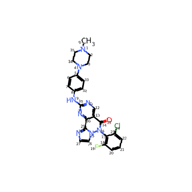 CN1CCN(c2ccc(Nc3ncc4c(=O)n(-c5c(F)cccc5Cl)n5ccnc5c4n3)cc2)CC1